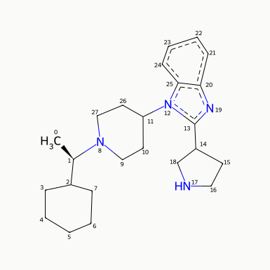 C[C@H](C1CCCCC1)N1CCC(n2c(C3CCNC3)nc3ccccc32)CC1